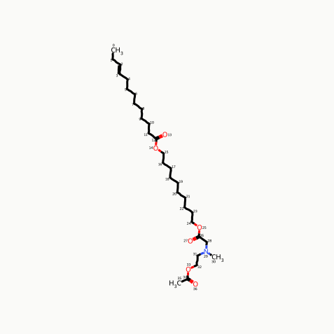 CC/C=C/CCCCCCCCC(=O)OCCCCCCCCCCOC(=O)CN(C)CCOC(C)=O